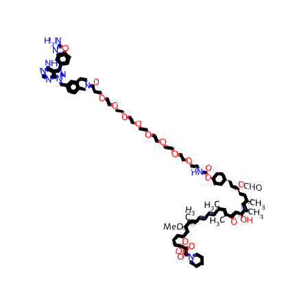 CO[C@@H](CC1CCC[C@](O)(C(=O)C(=O)N2CCCCC2)O1)/C(C)=C/C=C/C=C/[C@@H](C)C[C@@H](C)C(=O)C[C@H](O)/C(C)=C/[C@@H](C)CC[C@@H](CC[C@H]1CC[C@H](OC(=O)NCCOCCOCCOCCOCCOCCOCCOCCOCCC(=O)N2CCc3cc(Cn4nc(-c5ccc6oc(N)nc6c5)c5c(N)ncnc54)ccc3C2)CC1)OC=O